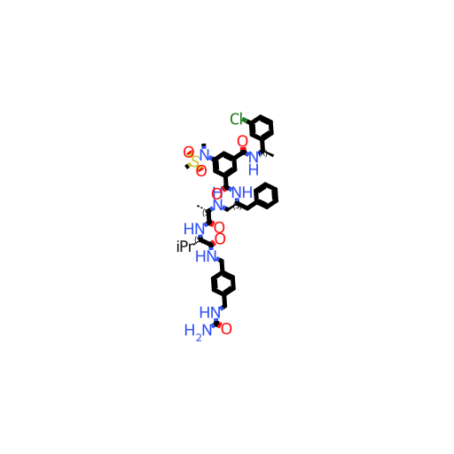 CC(C)[C@H](NC(=O)[C@H](C)NC[C@H](Cc1ccccc1)NC(=O)c1cc(C(=O)N[C@H](C)c2cccc(Cl)c2)cc(N(C)S(C)(=O)=O)c1)C(=O)NCc1ccc(CNC(N)=O)cc1